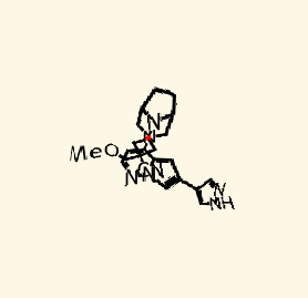 COC[C@]1(C#N)C[C@@H](N2C3CCC2CN(c2ccnn4cc(-c5cn[nH]c5)cc24)C3)C1